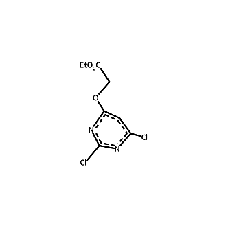 CCOC(=O)COc1cc(Cl)nc(Cl)n1